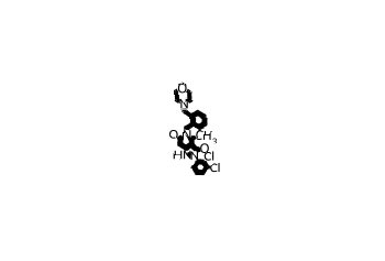 Cc1c2c(=O)n(-c3cccc(Cl)c3Cl)[nH]c2cc(=O)n1Cc1ccccc1CN1CCOCC1